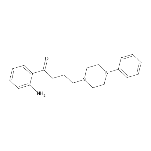 Nc1ccccc1C(=O)CCCN1CCN(c2ccccc2)CC1